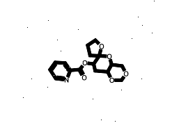 O=C(OC1CC2OCOCC2OC12CCCO2)c1ccccn1